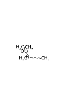 C=C(C)C(=O)OCCN(C)C/C=C/CC/C=C/C